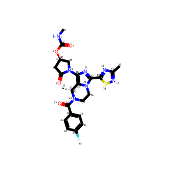 CNC(=O)O[C@@H]1CC(=O)N(c2nc(-c3nc(C)ns3)n3c2[C@@H](C)N(C(=O)c2ccc(F)cc2)CC3)C1